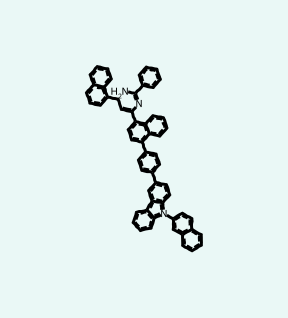 N/C(=N\C(=C/Cc1cccc2ccccc12)c1ccc(-c2ccc(-c3ccc4c(c3)c3ccccc3n4-c3ccc4ccccc4c3)cc2)c2ccccc12)c1ccccc1